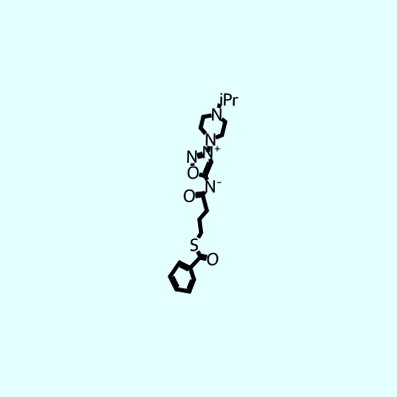 CC(C)N1CCN([n+]2cc([N-]C(=O)CCCSC(=O)c3ccccc3)on2)CC1